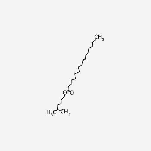 CCCCCCCC=CCCCCCCCCC(=O)OCCCCC(C)C